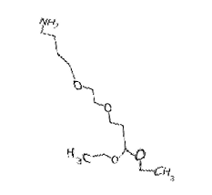 CCOC(CCOCCOCCCCN)OCC